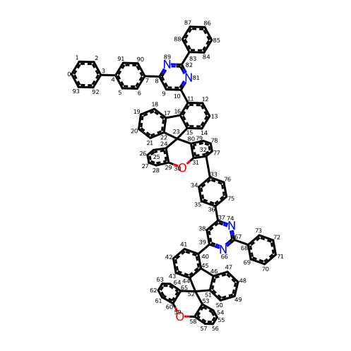 c1ccc(-c2ccc(-c3cc(-c4cccc5c4-c4ccccc4C54c5ccccc5Oc5c(-c6ccc(-c7cc(-c8cccc9c8-c8ccccc8C98c9ccccc9Oc9ccccc98)nc(-c8ccccc8)n7)cc6)cccc54)nc(-c4ccccc4)n3)cc2)cc1